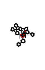 c1ccc(-c2cccc(-c3nc(-c4cccc(-c5ccccc5)c4)nc(-c4ccc5c(c4)C4(c6ccccc6-5)c5ccccc5-c5cc6c7ccccc7n(-c7ccccc7)c6cc54)n3)c2)cc1